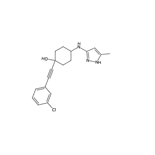 Cc1cc(NC2CCC(O)(C#Cc3cccc(Cl)c3)CC2)n[nH]1